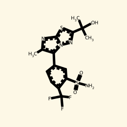 Cc1nc2sc(C(C)(C)O)nn2c1-c1ccc(C(F)(F)F)c(S(N)(=O)=O)c1